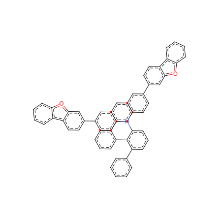 c1ccc(-c2ccccc2-c2c(-c3ccccc3)cccc2N(c2ccc(-c3ccc4c(c3)oc3ccccc34)cc2)c2ccc(-c3ccc4c(c3)oc3ccccc34)cc2)cc1